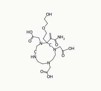 C=C(C(N)=O)C1(CCOCCO)CN(CC(=O)O)CCN(CC(=O)O)CCNCCN1CC(=O)O